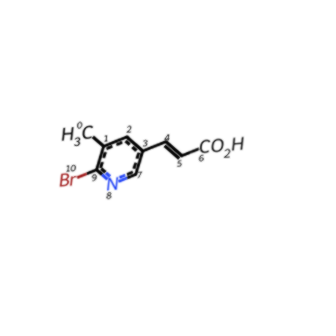 Cc1cc(C=CC(=O)O)cnc1Br